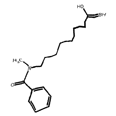 B=C(O)CCCCCCCN(C)C(=O)c1ccccc1